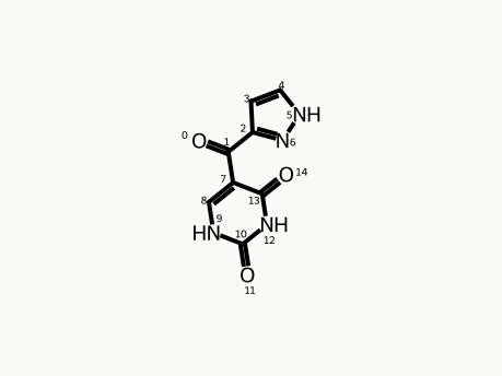 O=C(c1cc[nH]n1)c1c[nH]c(=O)[nH]c1=O